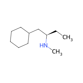 CC[C@H](CC1CCCCC1)NC